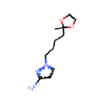 CC1(CCCCn2ccc(N)n2)OCCO1